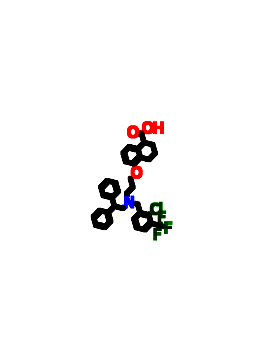 O=C(O)C1CCCc2c(OCCCN(Cc3cccc(C(F)(F)F)c3Cl)CC(c3ccccc3)c3ccccc3)cccc21